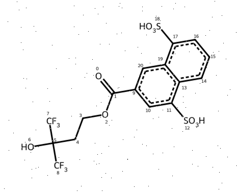 O=C(OCCC(O)(C(F)(F)F)C(F)(F)F)c1cc(S(=O)(=O)O)c2cccc(S(=O)(=O)O)c2c1